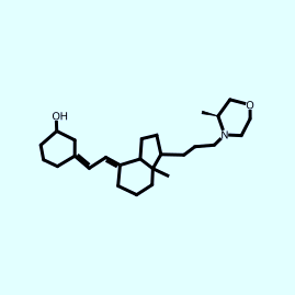 C[C@H]1COCCN1CCCC1CCC2/C(=C/C=C3/CCCC(O)C3)CCCC12C